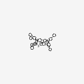 CC1(C)c2cc(N(c3ccc(-c4ccccc4)cc3)c3ccc(-c4ccccc4)cc3)ccc2-c2ccc(N(c3ccc4c(c3)oc3ccccc34)c3ccc4c(c3)oc3ccccc34)cc21